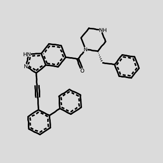 O=C(c1ccc2[nH]nc(C#Cc3ccccc3-c3ccccc3)c2c1)N1CCNC[C@@H]1Cc1ccccc1